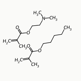 C=C(C)C(=O)OCCCCC.C=C(C)C(=O)OCCN(C)C